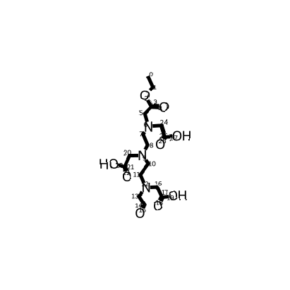 CCOC(=O)CN(CCN(CCN(CC=O)CC(=O)O)CC(=O)O)CC(=O)O